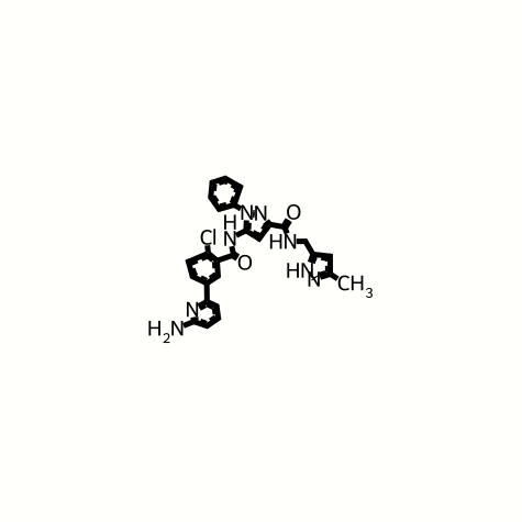 Cc1cc(CNC(=O)c2cc(NC(=O)c3cc(-c4cccc(N)n4)ccc3Cl)n(-c3ccccc3)n2)[nH]n1